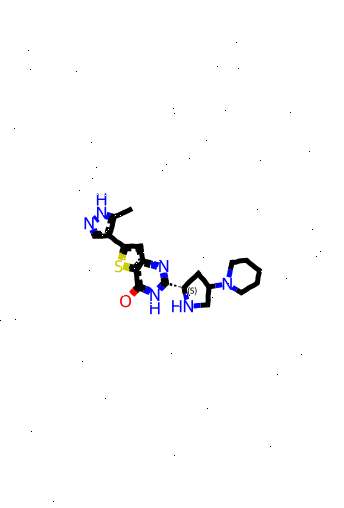 Cc1[nH]ncc1-c1cc2nc([C@@H]3CC(N4CCCCC4)CN3)[nH]c(=O)c2s1